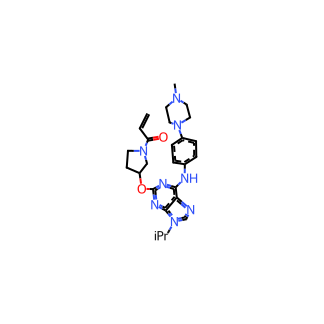 C=CC(=O)N1CCC(Oc2nc(Nc3ccc(N4CCN(C)CC4)cc3)c3ncn(C(C)C)c3n2)C1